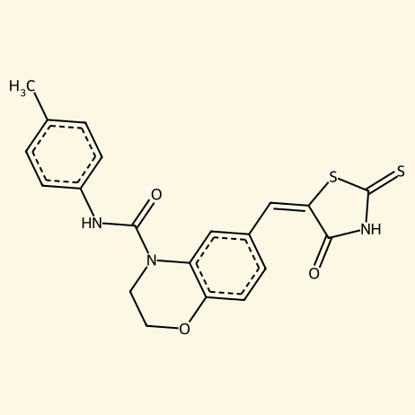 Cc1ccc(NC(=O)N2CCOc3ccc(/C=C4/SC(=S)NC4=O)cc32)cc1